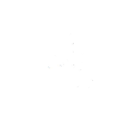 CC1=NC=C(Cc2ccccc2)CN1CC1(c2ccccc2)OCCO1